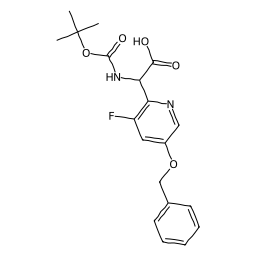 CC(C)(C)OC(=O)NC(C(=O)O)c1ncc(OCc2ccccc2)cc1F